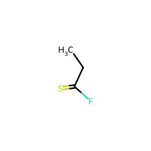 CCC(F)=S